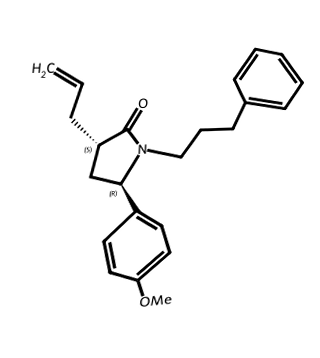 C=CC[C@H]1C[C@H](c2ccc(OC)cc2)N(CCCc2ccccc2)C1=O